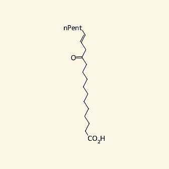 CCCCCC=CCC(=O)CCCCCCCCCCC(=O)O